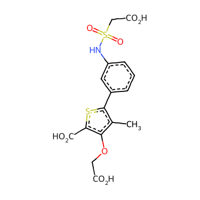 Cc1c(-c2cccc(NS(=O)(=O)CC(=O)O)c2)sc(C(=O)O)c1OCC(=O)O